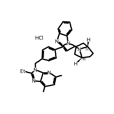 CCc1nc2c(C)cc(C)nc2n1Cc1ccc(C=CCN2[C@@H]3CC[C@H]2CC(n2cnc4ccccc42)C3)cc1.Cl